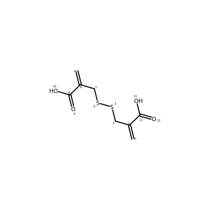 C=C(CSSCC(=C)C(=O)O)C(=O)O